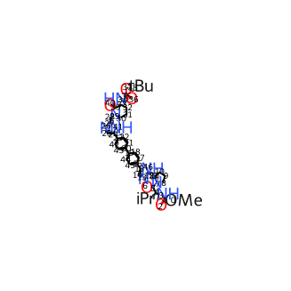 COC(=O)NC(C(=O)N1CCC[C@H]1c1ncc(-c2ccc(-c3ccc(-c4cnc(CN5CCCC(NC(=O)OC(C)(C)C)C5=O)[nH]4)cc3)cc2)[nH]1)C(C)C